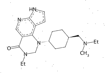 CCN(C)C[C@H]1CC[C@H](N2CN(CC)C(=O)c3cnc4[nH]ccc4c32)CC1